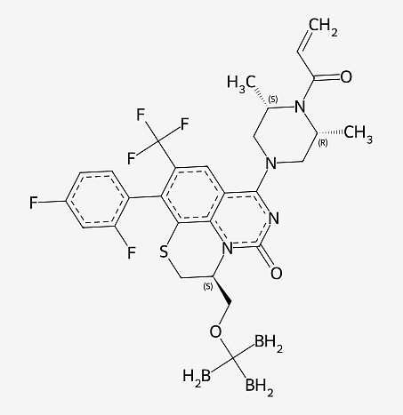 BC(B)(B)OC[C@H]1CSc2c(-c3ccc(F)cc3F)c(C(F)(F)F)cc3c(N4C[C@@H](C)N(C(=O)C=C)[C@@H](C)C4)nc(=O)n1c23